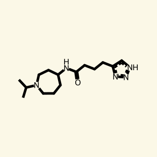 CC(C)N1CCCC(NC(=O)CCCc2c[nH]nn2)CC1